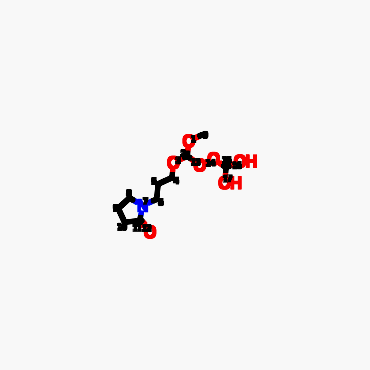 COC(OCCCN1CCCC1=O)OOC(O)O